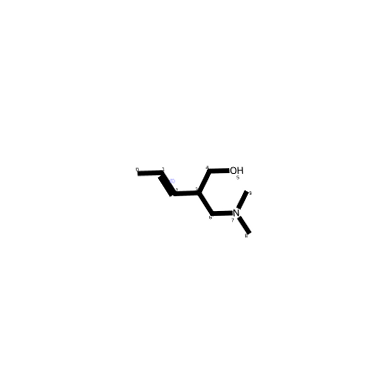 C/C=C/C(CO)CN(C)C